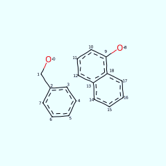 [O]Cc1ccccc1.[O]c1cccc2ccccc12